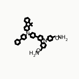 CC1(C)c2ccccc2-c2ccc(N(c3ccc(-c4ccccc4)cc3)c3ccc(-c4ccc5c(c4)c4cc(CON)ccc4n5-c4ccc(CON)cc4)cc3)cc21